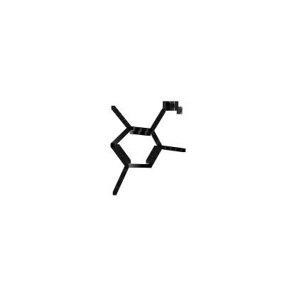 Cc1cc(C)[c]([BiH2])c(C)c1